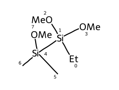 CC[Si](OC)(OC)[Si](C)(C)OC